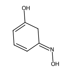 ON=C1C=CC=C(O)C1